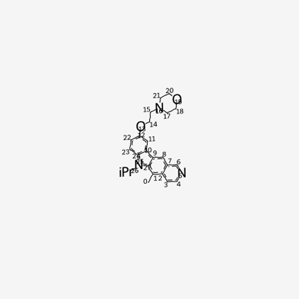 Cc1c2ccncc2cc2c3cc(OCCN4CCOCC4)ccc3n(C(C)C)c12